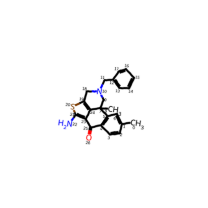 Cc1ccc2c(c1)C1(C)CN(Cc3ccccc3)Cc3sc(N)c(c31)C2=O